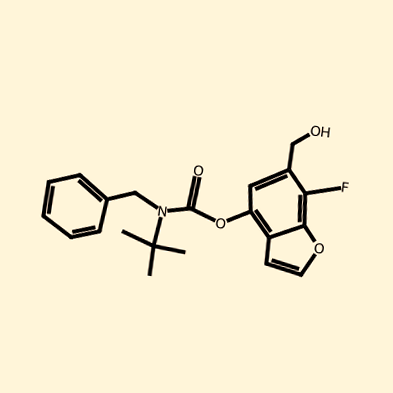 CC(C)(C)N(Cc1ccccc1)C(=O)Oc1cc(CO)c(F)c2occc12